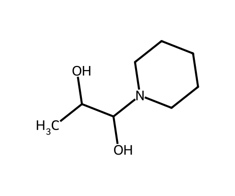 CC(O)C(O)N1CCCCC1